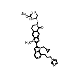 Cn1c(-c2cc3cccc(CCCn4ccnc4)c3n2CC2CC2)nc2cc3c(cc21)CCN(C[C@@H](CF)NC(=O)OC(C)(C)C)C3=O